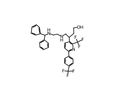 OCCC(CNCCNC(c1ccccc1)c1ccccc1)c1ccc(-c2ccc(C(F)(F)F)cc2)nc1C(F)(F)F